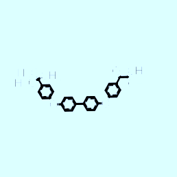 CC(C)C(=O)c1ccc(Oc2ccc(-c3ccc(Oc4ccc(C(C)(C)C)cc4)cc3)cc2)cc1